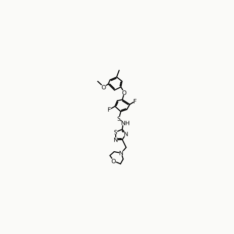 COc1cc(C)cc(Oc2cc(F)c(SNc3nc(CN4CCOCC4)ns3)cc2F)c1